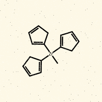 [CH3][Zr]([C]1=CC=CC1)([C]1=CC=CC1)[C]1=CC=CC1